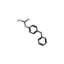 [CH2]CCC(CC)Oc1ccc(Cc2ccccc2)cc1